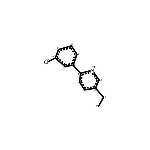 CCc1ccc(-c2cccc(Cl)c2)nc1